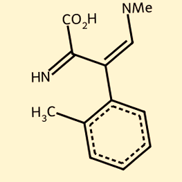 CN/C=C(\C(=N)C(=O)O)c1ccccc1C